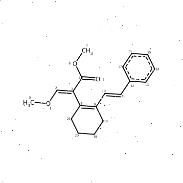 CO/C=C(/C(=O)OC)C1=C(/C=C/c2ccccc2)CCCC1